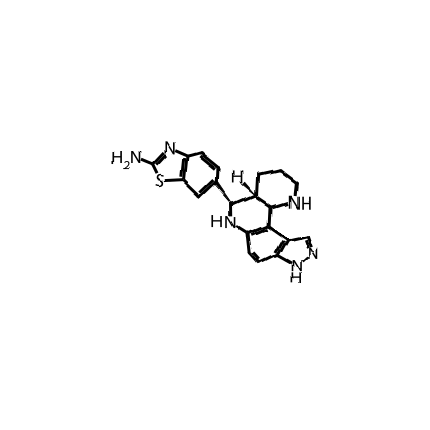 Nc1nc2ccc([C@@H]3Nc4ccc5[nH]ncc5c4C4NCCC[C@H]43)cc2s1